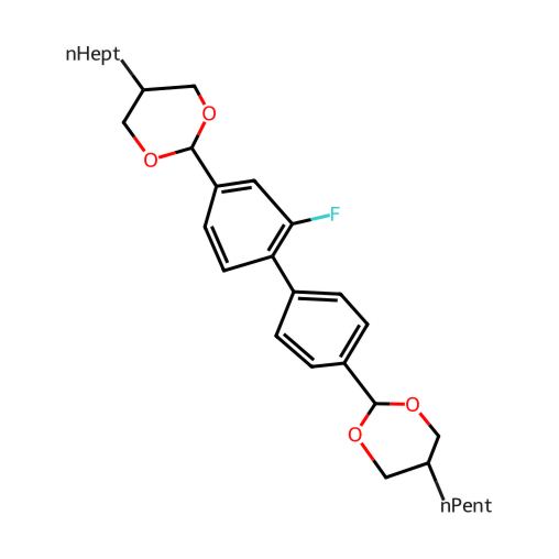 CCCCCCCC1COC(c2ccc(-c3ccc(C4OCC(CCCCC)CO4)cc3)c(F)c2)OC1